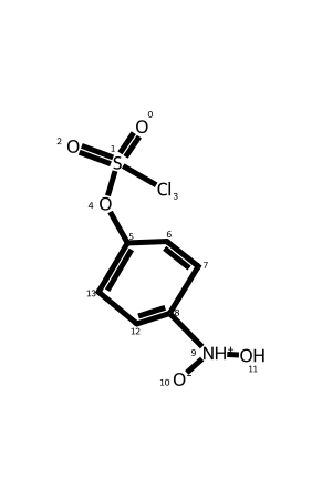 O=S(=O)(Cl)Oc1ccc([NH+]([O-])O)cc1